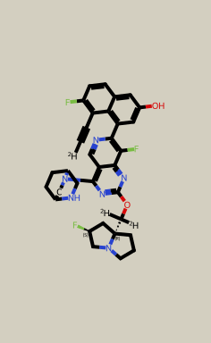 [2H]C#Cc1c(F)ccc2cc(O)cc(-c3ncc4c(N5CC6CCC5CN6)nc(OC([2H])([2H])[C@]56CCCN5C[C@@H](F)C6)nc4c3F)c12